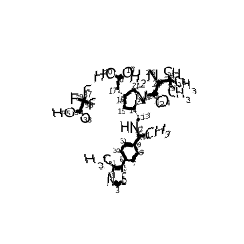 Cc1ncsc1-c1ccc(C(C)NC[C@@H]2C[C@H](CC(=O)O)CN2C(=O)C(N)C(C)(C)C)cc1.O=C(O)C(F)(F)F